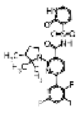 CC1CCN(c2nc(-c3cc(F)cc(F)c3F)ccc2C(=O)NS(=O)(=O)c2ccc[nH]c2=O)C1(C)C